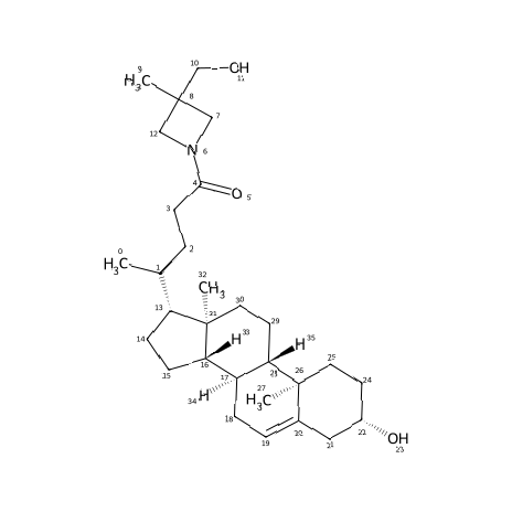 CC(CCC(=O)N1CC(C)(CO)C1)[C@H]1CC[C@H]2[C@@H]3CC=C4C[C@@H](O)CC[C@]4(C)[C@H]3CC[C@]12C